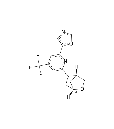 FC(F)(F)c1cc(-c2cnco2)nc(N2C[C@@H]3C[C@H]2CO3)c1